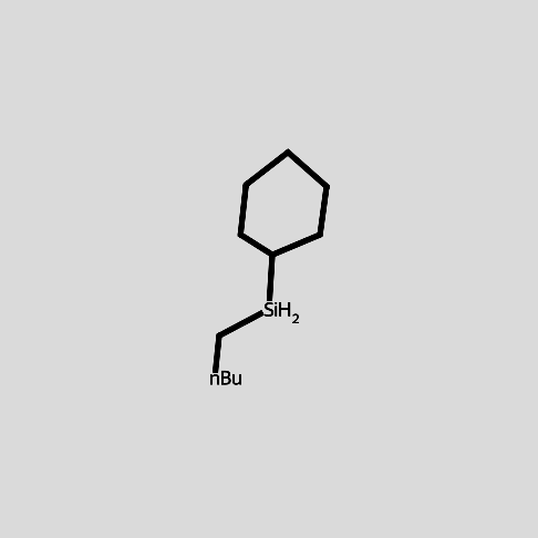 CCCCC[SiH2]C1CCCCC1